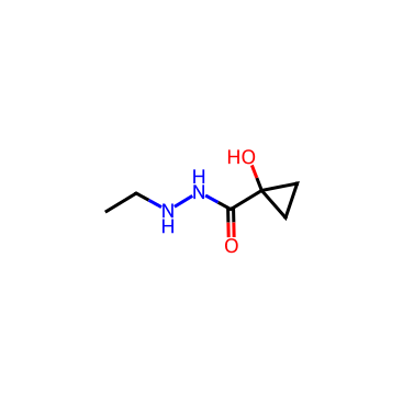 CCNNC(=O)C1(O)CC1